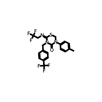 Cc1ccc(N2CS/C(=N/CC(F)(F)F)N(Cc3ccc(C(F)(F)F)cc3)C2=O)cc1